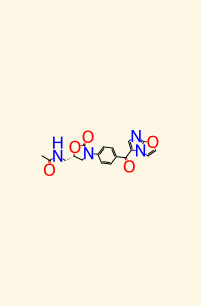 CC(=O)NC[C@H]1CN(c2ccc(C(=O)c3cnc4occn34)cc2)C(=O)O1